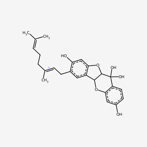 CC(C)=CCC/C(C)=C/Cc1cc2c(cc1O)OC1C2Oc2cc(O)ccc2C1(O)O